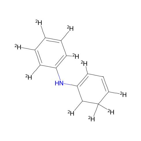 [2H]C1=CC([2H])=C(Nc2c([2H])c([2H])c([2H])c([2H])c2[2H])C([2H])C1([2H])[2H]